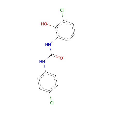 O=C(Nc1ccc(Cl)cc1)Nc1cccc(Cl)c1O